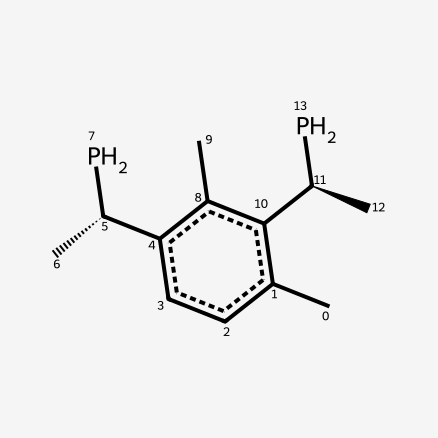 Cc1ccc([C@H](C)P)c(C)c1[C@H](C)P